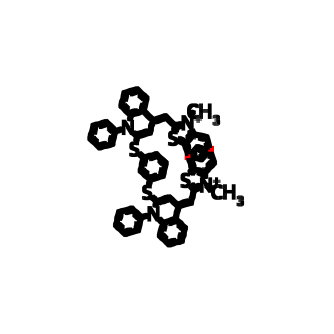 C[n+]1c(/C=C2\C=C(Sc3cccc(SC4=C/C(=C\c5sc6ccccc6[n+]5C)c5ccccc5N4c4ccccc4)c3)N(c3ccccc3)c3ccccc32)sc2ccccc21